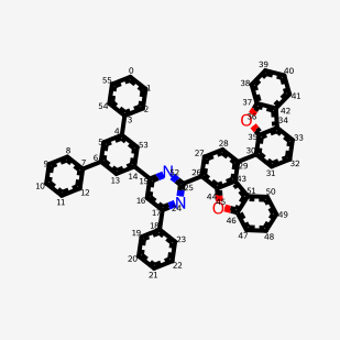 c1ccc(-c2cc(-c3ccccc3)cc(-c3cc(-c4ccccc4)nc(-c4ccc(-c5cccc6c5oc5ccccc56)c5c4oc4ccccc45)n3)c2)cc1